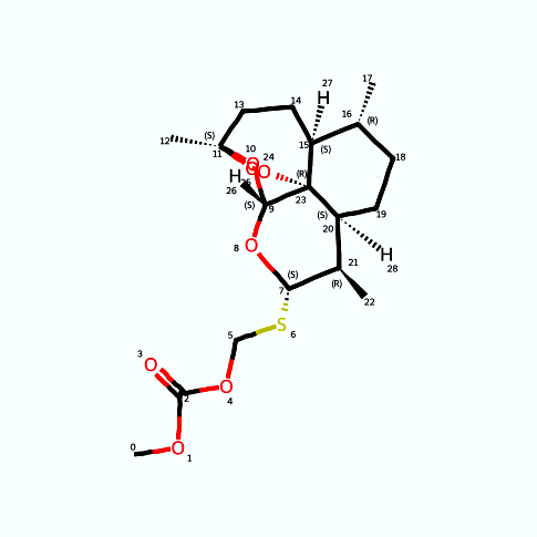 COC(=O)OCS[C@@H]1O[C@@H]2O[C@]3(C)CC[C@H]4[C@H](C)CC[C@@H]([C@H]1C)[C@@]24OO3